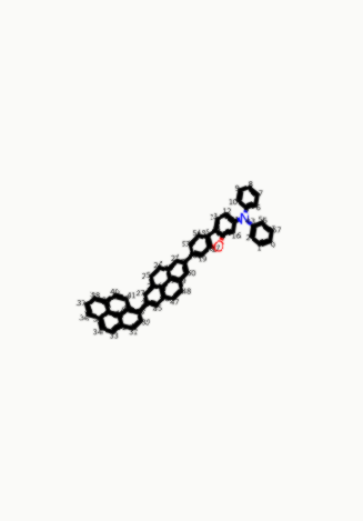 c1ccc(N(c2ccccc2)c2ccc3c(c2)oc2cc(-c4cc5ccc6cc(-c7ccc8ccc9cccc%10ccc7c8c9%10)cc7ccc(c4)c5c67)ccc23)cc1